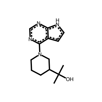 CC(C)(O)C1CCCN(c2ncnc3[nH]ccc23)C1